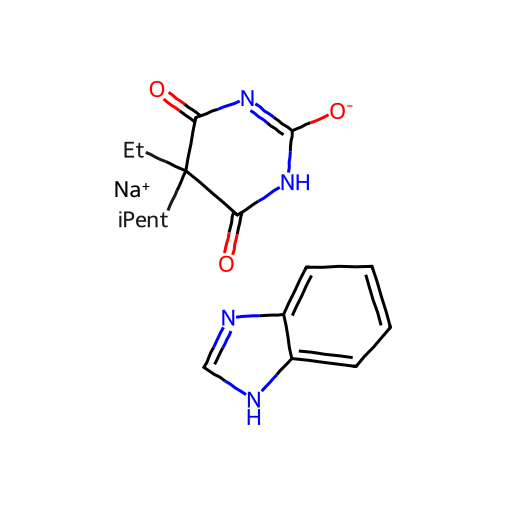 CCCC(C)C1(CC)C(=O)N=C([O-])NC1=O.[Na+].c1ccc2[nH]cnc2c1